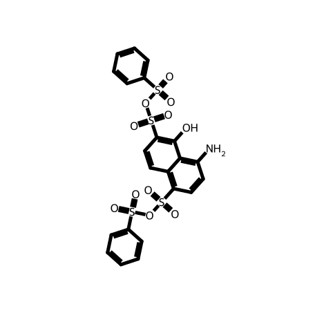 Nc1ccc(S(=O)(=O)OS(=O)(=O)c2ccccc2)c2ccc(S(=O)(=O)OS(=O)(=O)c3ccccc3)c(O)c12